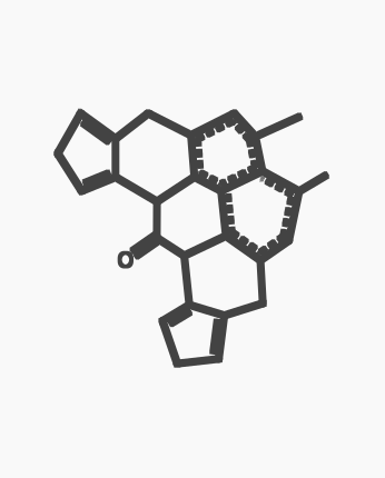 Cc1cc2c3c4c5c(cc(C)c14)CC1=CCC=C1C5C(=O)C3C1=CCC=C1C2